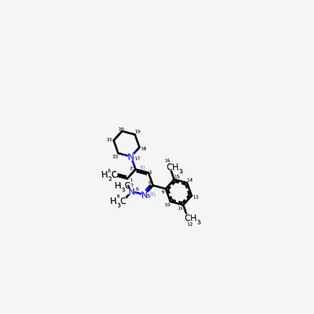 C=C/C(=C\C(=N/N(C)C)c1cc(C)ccc1C)N1CCCCC1